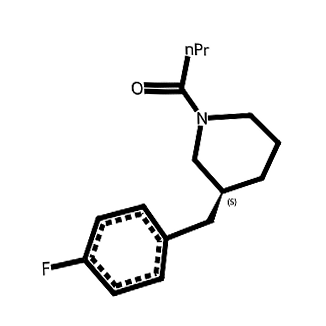 C[CH]CC(=O)N1CCC[C@@H](Cc2ccc(F)cc2)C1